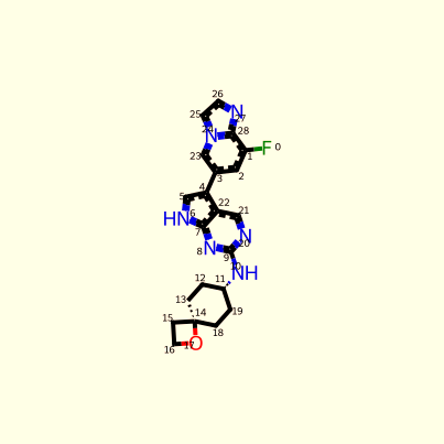 Fc1cc(-c2c[nH]c3nc(N[C@H]4CC[C@]5(CCO5)CC4)ncc23)cn2ccnc12